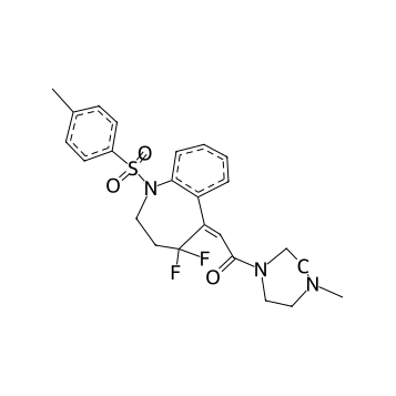 Cc1ccc(S(=O)(=O)N2CCC(F)(F)/C(=C\C(=O)N3CCN(C)CC3)c3ccccc32)cc1